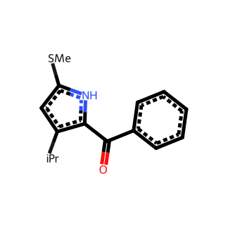 CSc1cc(C(C)C)c(C(=O)c2ccccc2)[nH]1